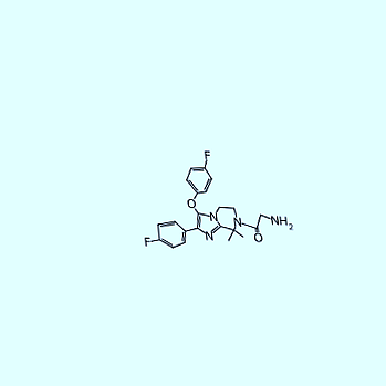 CC1(C)c2nc(-c3ccc(F)cc3)c(Oc3ccc(F)cc3)n2CCN1C(=O)CN